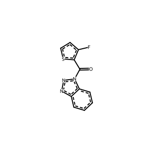 O=C(c1sccc1F)n1nnc2ccccc21